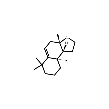 CC1(C)CCC[C@@]2(C)C1=CC[C@]1(C)OCC[C@H]21